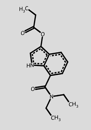 CCC(=O)Oc1c[nH]c2c(C(=O)N(CC)CC)cccc12